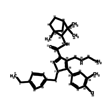 CCc1ccc(Cn2nc(C(=O)NC3C4(C)CCC(C4)C3(C)C)c(CNCN)c2-c2ccc(Cl)c(C)c2)cc1